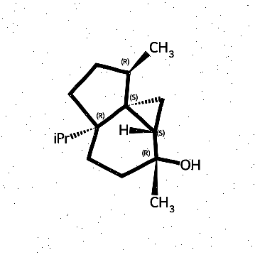 CC(C)[C@]12CC[C@@H](C)[C@]13C[C@@H]3[C@](C)(O)CC2